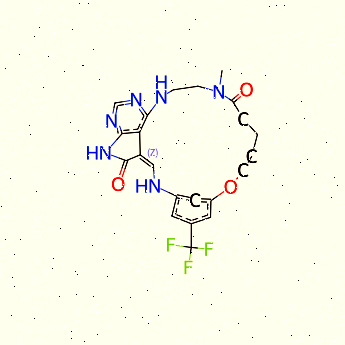 CN1CCNc2ncnc3c2/C(=C/Nc2cc(cc(C(F)(F)F)c2)OCCCCC1=O)C(=O)N3